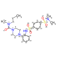 CCCN(C)C(=O)N1CCN(c2ccccc2NS(=O)(=O)c2ccc(S(=O)(=O)N(C)C)cc2)CC1